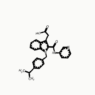 CC(C)c1ccc(Cn2c(C(=O)Nc3cccnc3)c(CC(=O)O)c3ccccc32)cc1